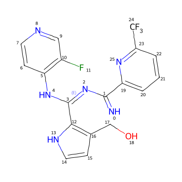 N=C(/N=C(/Nc1ccncc1F)c1[nH]ccc1CO)c1cccc(C(F)(F)F)n1